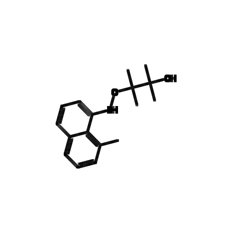 Cc1cccc2cccc(BOC(C)(C)C(C)(C)O)c12